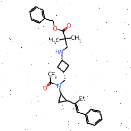 CC/C(=C\c1ccccc1)C1CC1N(C[C@H]1C[C@H](NCC(C)(C)C(=O)OCc2ccccc2)C1)C(=O)C(F)(F)F